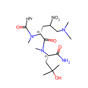 CCCC(=O)N(C)[C@H](CC(CN(C)C)[N+](=O)[O-])C(=O)N(C)[C@@H](CC(C)(C)O)C(N)=O